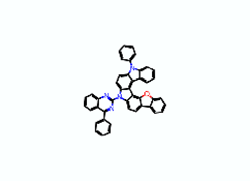 c1ccc(-c2nc(-n3c4ccc5c6ccccc6oc5c4c4c5c6ccccc6n(-c6ccccc6)c5ccc43)nc3ccccc23)cc1